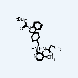 Cc1ccnc(NCC2CCC3(CC2)CN(C(=O)OC(C)(C)C)c2ccccc23)c1NC(=O)CC(F)(F)F